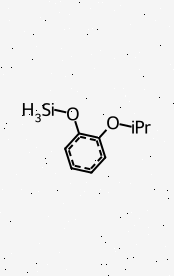 CC(C)Oc1ccccc1O[SiH3]